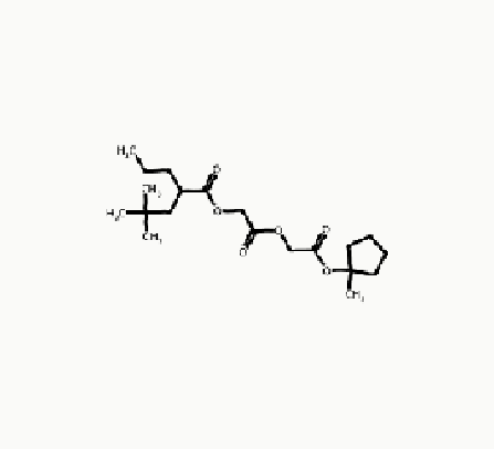 CCCC(CC(C)(C)C)C(=O)OCC(=O)OCC(=O)OC1(C)CCCC1